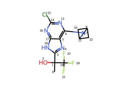 CC(O)(c1nc2c(N3CC4CC3C4)nc(Cl)nc2[nH]1)C(F)(F)F